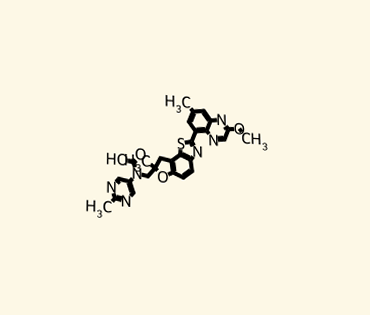 COc1cnc2c(-c3nc4ccc5c(c4s3)CC(C)(CN(C(=O)O)c3cnc(C)nc3)O5)cc(C)cc2n1